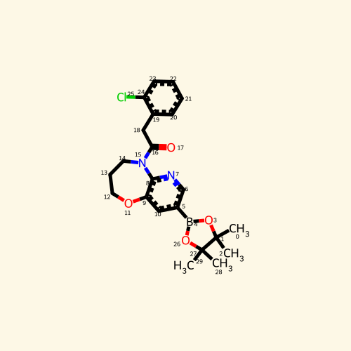 CC1(C)OB(c2cnc3c(c2)OCCCN3C(=O)Cc2ccccc2Cl)OC1(C)C